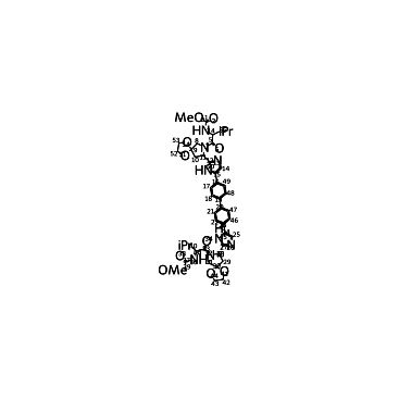 COC(=O)NC(C(=O)N1CC2(CC1c1ncc(-c3ccc(-c4ccc(-c5cnc([C@@H]6CC7(CN6C(=O)[C@@H](NC(=O)OC)C(C)C)OCCO7)[nH]5)cc4)cc3)[nH]1)OCCO2)C(C)C